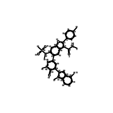 CNC(=O)c1c(-c2ccc(C)cc2)oc2cc(N(C)S(C)(=O)=O)c(-c3cc(-c4cc5c(F)cccc5n4C)c(=O)n(C)n3)cc12